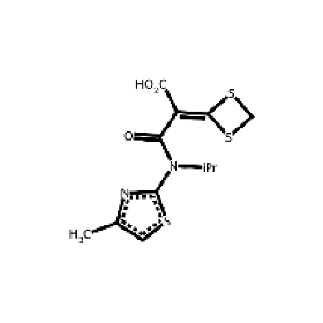 Cc1csc(N(C(=O)C(C(=O)O)=C2SCS2)C(C)C)n1